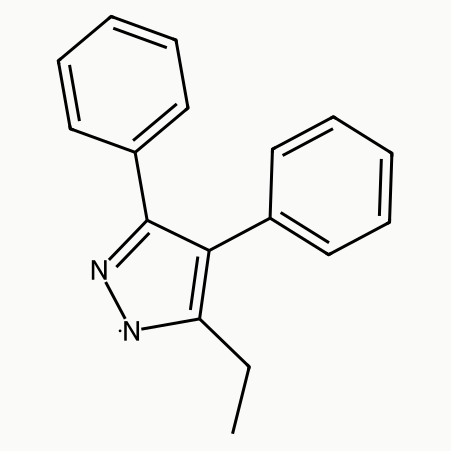 CCC1=C(c2ccccc2)C(c2ccccc2)=N[N]1